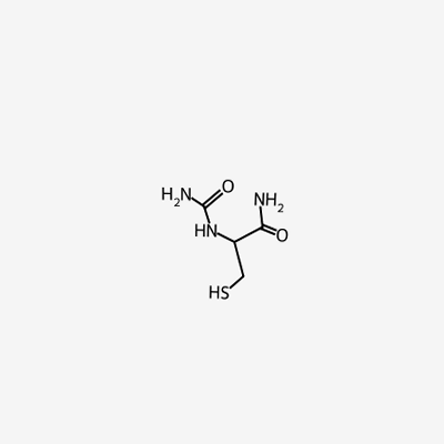 NC(=O)NC(CS)C(N)=O